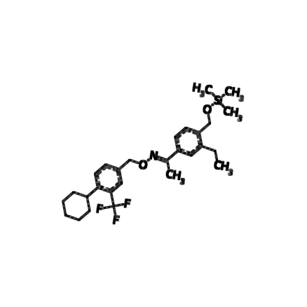 CCc1cc(/C(C)=N/OCc2ccc(C3CCCCC3)c(C(F)(F)F)c2)ccc1CO[Si](C)(C)C